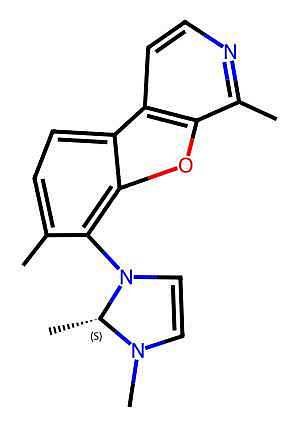 Cc1ccc2c(oc3c(C)nccc32)c1N1C=CN(C)[C@@H]1C